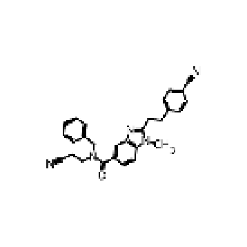 Cn1c(CCc2ccc(C#N)cc2)nc2cc(C(=O)N(CCC#N)Cc3ccccc3)ccc21